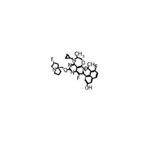 CC(=O)c1c(F)ccc2cc(O)cc(-c3nc4c5c(nc(OC[C@@]67CCCN6C[C@H](F)C7)nc5c3F)N(C3CC3)C(C)CO4)c12